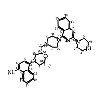 C[C@@H]1CN(c2ccc(C#N)c3ncccc23)C[C@H](CN2CCN(c3nc(N4CCNCC4)nc4ccccc34)CC2)O1